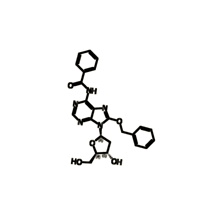 O=C(Nc1ncnc2c1nc(OCc1ccccc1)n2[C@H]1C[C@H](O)[C@@H](CO)O1)c1ccccc1